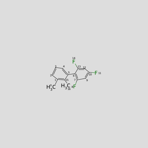 Cc1cccc(-c2c(F)cc(F)cc2F)c1C